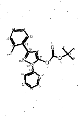 CC(C)(C)OC(=O)Oc1cc(-c2ccccc2I)nn1-c1ccccn1